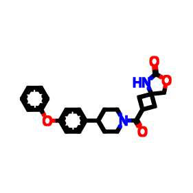 O=C1NC2(CO1)CC(C(=O)N1CCC(c3ccc(Oc4ccccc4)cc3)CC1)C2